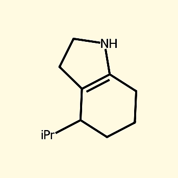 CC(C)C1CCCC2=C1CCN2